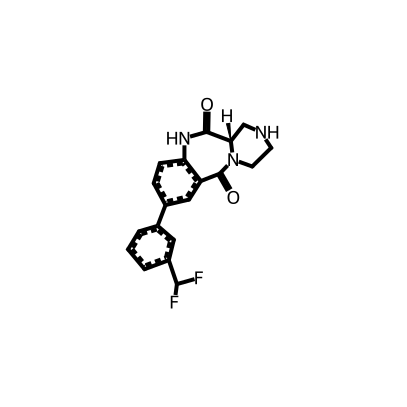 O=C1Nc2ccc(-c3cccc(C(F)F)c3)cc2C(=O)N2CCNC[C@@H]12